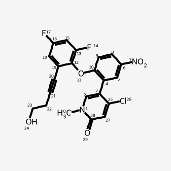 Cn1cc(-c2cc([N+](=O)[O-])ccc2Oc2c(F)cc(F)cc2C#CCCO)c(Cl)cc1=O